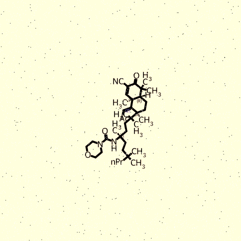 CCCC(C)(C)CC[C@@](C)(CCC(C)(C)[C@]1(C)CC[C@H]2C(C)(C)C(=O)C(C#N)=C[C@]2(C)/C1=C/C(C)=O)NC(=O)N1CCOCC1